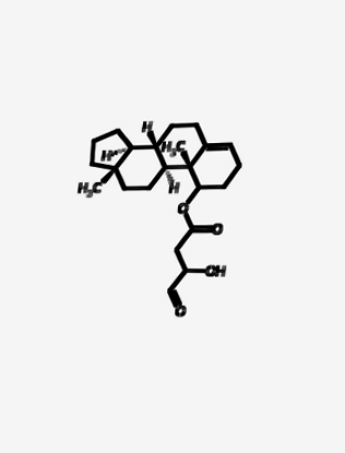 C[C@@]12CCC[C@H]1[C@@H]1CCC3=CCCC(OC(=O)CC(O)C=O)[C@]3(C)[C@H]1CC2